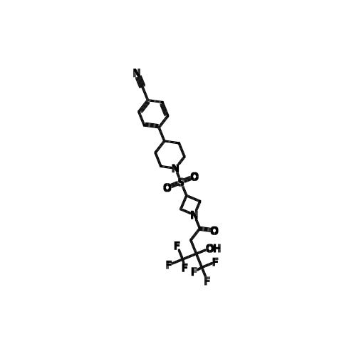 N#Cc1ccc(C2CCN(S(=O)(=O)C3CN(C(=O)CC(O)(C(F)(F)F)C(F)(F)F)C3)CC2)cc1